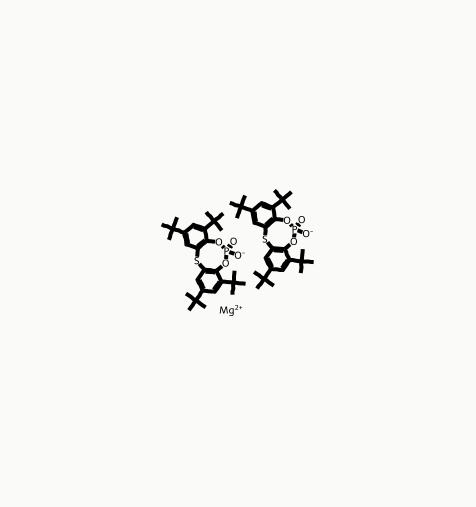 CC(C)(C)c1cc2c(c(C(C)(C)C)c1)OP(=O)([O-])Oc1c(cc(C(C)(C)C)cc1C(C)(C)C)S2.CC(C)(C)c1cc2c(c(C(C)(C)C)c1)OP(=O)([O-])Oc1c(cc(C(C)(C)C)cc1C(C)(C)C)S2.[Mg+2]